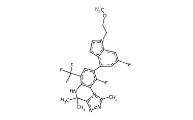 COCCn1ccc2c(-c3cc(C(F)(F)F)c4c(c3F)-n3c(C)nnc3C(C)(C)N4)cc(F)cc21